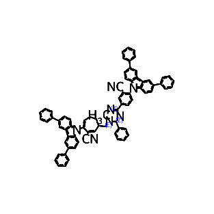 C\N=C(/N=C(\N=C\C1C=C(C#N)C(n2c3ccc(-c4ccccc4)cc3c3cc(-c4ccccc4)ccc32)=CCC1)c1ccccc1)c1ccc(-n2c3ccc(-c4ccccc4)cc3c3cc(-c4ccccc4)ccc32)c(C#N)c1